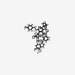 COc1c(F)ccc2c1CC[C@H]2Nc1cccc2nc(-c3c4c(nc(CCc5ccc(F)cc5)c3-c3n[nH]c(=O)o3)C35CC(CN3C4=O)C5)sc12